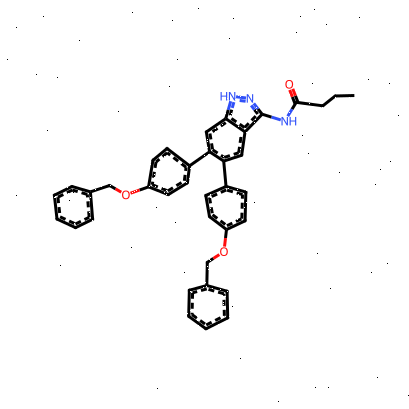 CCCC(=O)Nc1n[nH]c2cc(-c3ccc(OCc4ccccc4)cc3)c(-c3ccc(OCc4ccccc4)cc3)cc12